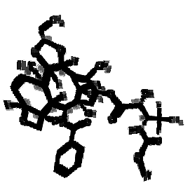 C=C[C@@H]1O[C@@H]2C3=C(C)[C@@H](OC(=O)[C@H](O)[C@@H](NC(=O)OC(C)C)C(C)(F)F)C[C@@](O)([C@@H](OC(=O)c4ccccc4)[C@H]4[C@@](C)(CC[C@H]5OC[C@]54OC(C)=O)[C@@H]2O1)C3(C)C